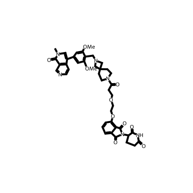 COc1cc(-c2cn(C)c(=O)c3cnccc23)cc(OC)c1CN1CC2(CCN(C(=O)CCOCCOc3cccc4c3C(=O)N(C3CCC(=O)NC3=O)C4=O)CC2)C1